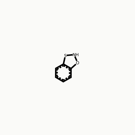 c1ccc2c(c1)ONS2